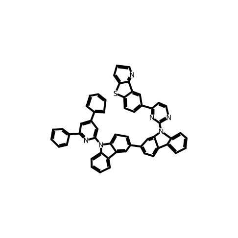 c1ccc(-c2cc(-c3ccccc3)nc(-n3c4ccccc4c4cc(-c5ccc6c7ccccc7n(-c7nccc(-c8ccc9sc%10cccnc%10c9c8)n7)c6c5)ccc43)c2)cc1